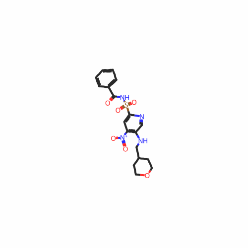 O=C(NS(=O)(=O)c1cc([N+](=O)[O-])c(NCC2CCOCC2)cn1)c1ccccc1